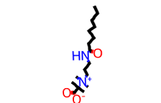 CCCCCCCC(=O)NCCC[N+](C)(C)C(C)(C)C(=O)[O-]